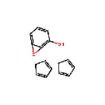 C1=CCC=C1.C1=CCC=C1.Oc1cccc2c1O2